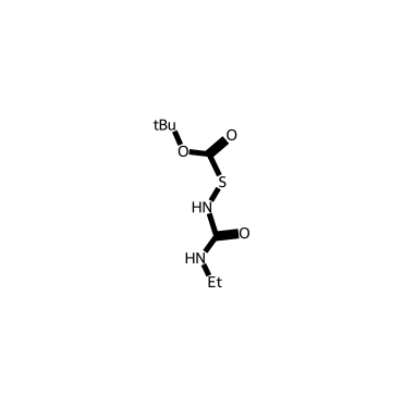 CCNC(=O)NSC(=O)OC(C)(C)C